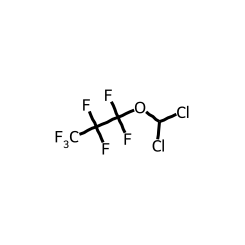 FC(F)(F)C(F)(F)C(F)(F)OC(Cl)Cl